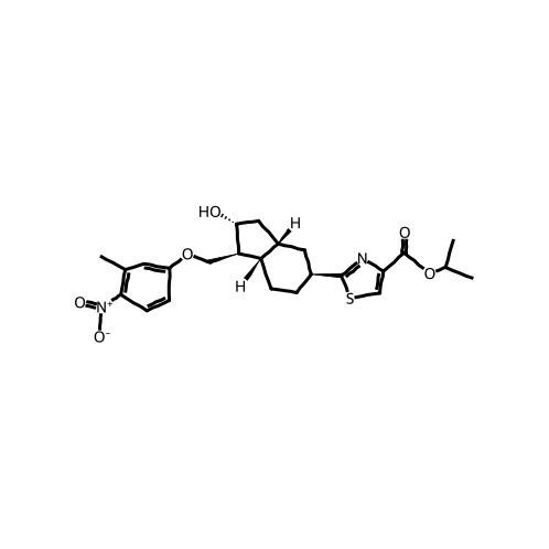 Cc1cc(OC[C@@H]2[C@H]3CC[C@H](c4nc(C(=O)OC(C)C)cs4)C[C@H]3C[C@H]2O)ccc1[N+](=O)[O-]